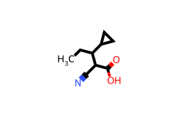 CCC(C1CC1)C(C#N)C(=O)O